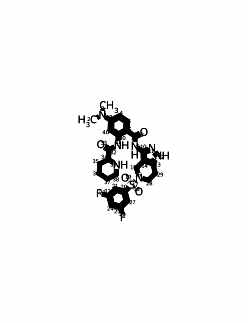 CN(C)c1ccc(C(=O)Nc2n[nH]c3c2CN(S(=O)(=O)c2cc(F)cc(F)c2)CC3)c(NC(=O)C2CCCCN2)c1